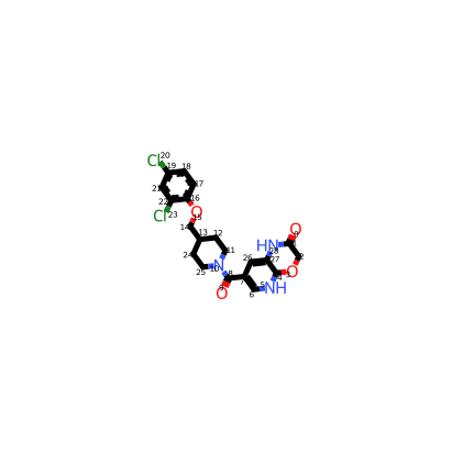 O=C1COC2NC=C(C(=O)N3CCC(COc4ccc(Cl)cc4Cl)CC3)C=C2N1